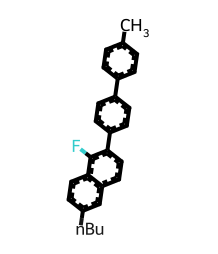 CCCCc1ccc2c(F)c(-c3ccc(-c4ccc(C)cc4)cc3)ccc2c1